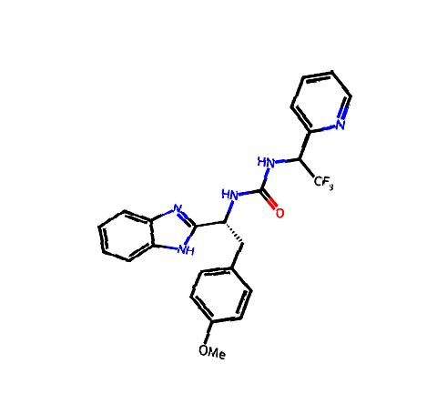 COc1ccc(C[C@@H](NC(=O)NC(c2ccccn2)C(F)(F)F)c2nc3ccccc3[nH]2)cc1